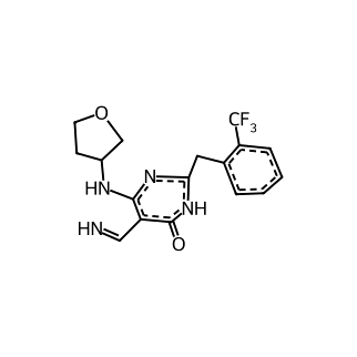 N=Cc1c(NC2CCOC2)nc(Cc2ccccc2C(F)(F)F)[nH]c1=O